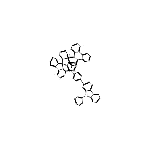 c1ccc(-n2c3ccccc3c3ccc(-c4ccc(N(c5ccc6c7ccccc7c7ccccc7c6c5)c5cccc6c5C5(c7ccccc7-c7ccccc75)c5ccccc5-6)cc4)cc32)cc1